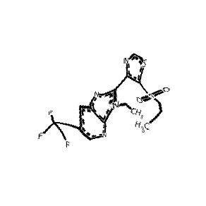 CCS(=O)(=O)c1scnc1-c1nc2cc(C(F)(F)F)cnc2n1C